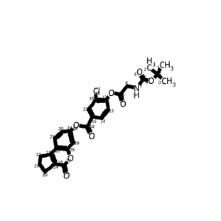 CC(C)(C)OC(=O)NCC(=O)Oc1ccc(C(=O)Oc2ccc3c4c(c(=O)oc3c2)CCC4)cc1Cl